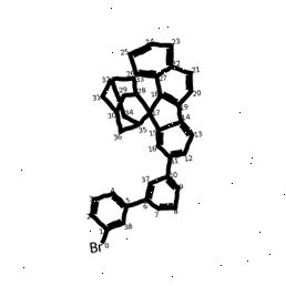 Brc1cccc(-c2cccc(-c3ccc4c(c3)C3(c5c-4ccc4ccccc54)C4CC5CC(C4)CC3C5)c2)c1